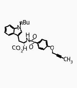 CC#CCOc1ccc(S(=O)(=O)N[C@@H](Cc2cn(CCCC)c3ccccc23)C(=O)O)cc1